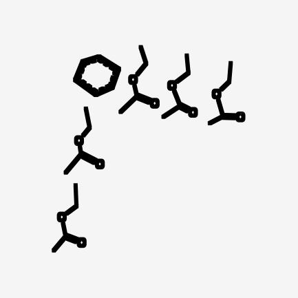 CCOC(C)=O.CCOC(C)=O.CCOC(C)=O.CCOC(C)=O.CCOC(C)=O.c1ccccc1